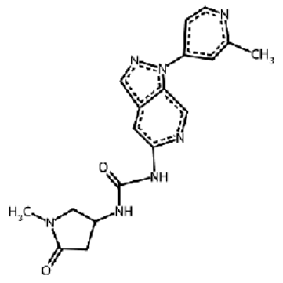 Cc1cc(-n2ncc3cc(NC(=O)NC4CC(=O)N(C)C4)ncc32)ccn1